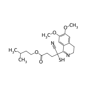 COc1cc2c(cc1OC)C(C(S)(C#N)CCC(=O)OCCC(C)C)=NCC2